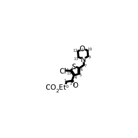 CCOC(=O)CC(=O)c1cc(CN2CCOCC2)sc1Cl